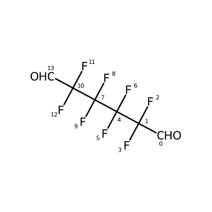 O=CC(F)(F)C(F)(F)C(F)(F)C(F)(F)C=O